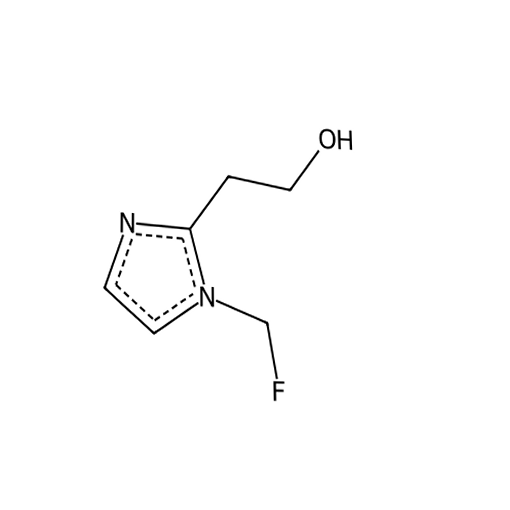 OCCc1nccn1CF